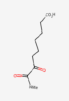 CNC(=O)C(=O)CCCCCC(=O)O